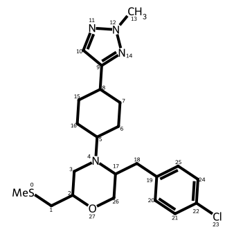 CSCC1CN(C2CCC(c3cnn(C)n3)CC2)C(Cc2ccc(Cl)cc2)CO1